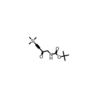 CC(C)(C)OC(=O)NCC(=O)C#C[Si](C)(C)C